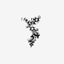 O=C(NCC1(C(=O)N[C@]2(C(=O)NS(=O)(=O)C3CCC3)C[C@H]2I)CC1)c1ccc(Nc2nc(NC3(c4ccc(Cl)cc4)CC3)nc(OCC(F)(F)F)n2)cc1